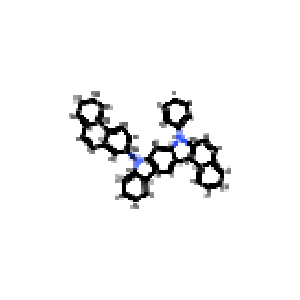 c1ccc(-n2c3cc4c(cc3c3c5ccccc5ccc32)c2ccccc2n4-c2ccc3c(ccc4ccccc43)c2)cc1